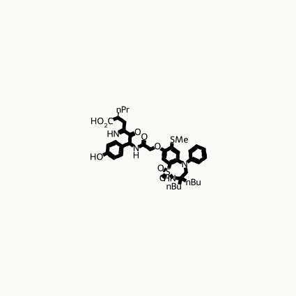 CCCCC1(CCCC)CN(c2ccccc2)c2cc(SC)c(OCC(=O)NC(C(=O)C(=N)C[C@@H](CCC)C(=O)O)c3ccc(O)cc3)cc2S(=O)(=O)N1